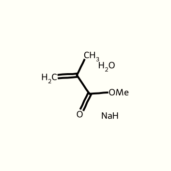 C=C(C)C(=O)OC.O.[NaH]